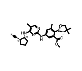 COC(=O)c1cc(Nc2ncc(C)c(N[C@@H]3CCC[C@H]3C#N)n2)cc(C)c1B1OCC(C)(C)O1